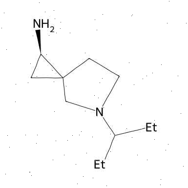 CCC(CC)N1CCC2(C[C@H]2N)C1